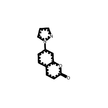 O=c1ccc2ccc(-n3cccn3)cc2o1